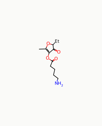 CCC1OC(C)=C(OC(=O)CCCCN)C1=O